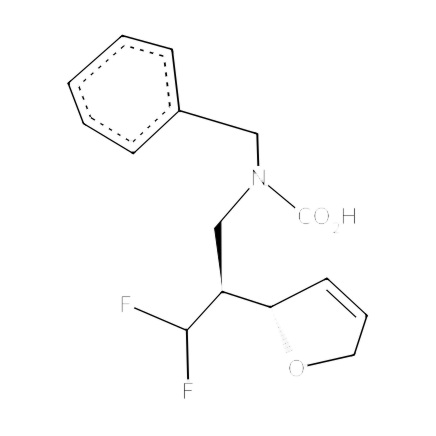 O=C(O)N(Cc1ccccc1)C[C@H](C(F)F)[C@@H]1C=CCO1